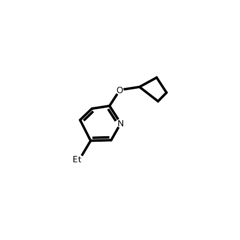 CCc1ccc(OC2CCC2)nc1